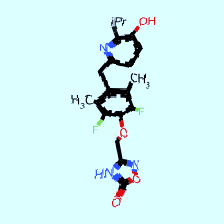 Cc1c(F)c(OCc2noc(=O)[nH]2)c(F)c(C)c1Cc1ccc(O)c(C(C)C)n1